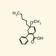 CCCCCC1(OC)C=CC(C(=O)O)=C(c2ccccc2)C1